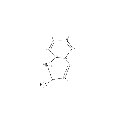 NC1N=CC2C=NC=CC2N1